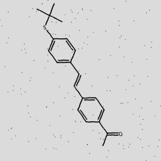 CC(=O)c1ccc(/C=C/c2ccc(SC(C)(C)C)cc2)cc1